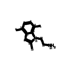 Cc1ccc(C)c2c1cc(C)n2CCN